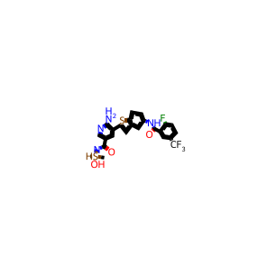 C[SH](C)(O)=NC(=O)c1cnc(N)c(-c2cc3cc(NC(=O)c4cc(C(F)(F)F)ccc4F)ccc3s2)c1